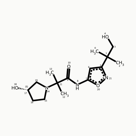 CC(C)(CO)c1cc(NC(=O)C(C)(C)N2CC[C@H](O)C2)on1